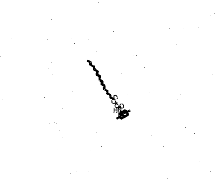 CCCCCCCCCCCCCCCCCC(=O)OCOC(=O)NC12CC3CC(C)(CC(C)(C3)C1)C2